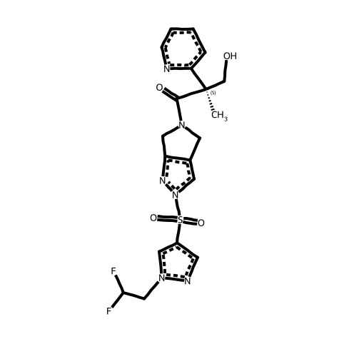 C[C@](CO)(C(=O)N1Cc2cn(S(=O)(=O)c3cnn(CC(F)F)c3)nc2C1)c1ccccn1